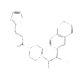 CC(C(O)c1ccc2c(c1)CCCS2)N1CCN(C(=O)C=Cc2ccco2)CC1